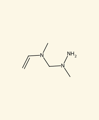 C=CN(C)CN(C)N